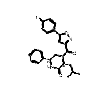 CC(C)C[C@H]1C(=O)N[C@@H](c2ccccc2)CN1C(=O)c1cc(-c2ccc(F)cc2)on1